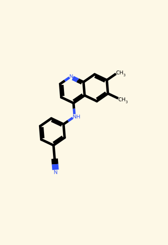 Cc1cc2nccc(Nc3cccc(C#N)c3)c2cc1C